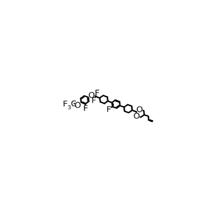 C=CCC1COC(C2CCC(c3ccc(C4CCC(C(F)(F)Oc5ccc(OC(F)(F)F)c(F)c5)CC4)c(F)c3)CC2)OC1